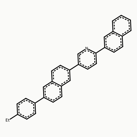 CCc1ccc(-c2ccc3cc(-c4ccc(-c5ccc6ccccc6c5)nc4)ccc3c2)cc1